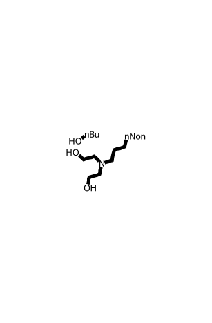 CCCCCCCCCCCCN(CCO)CCO.CCCCO